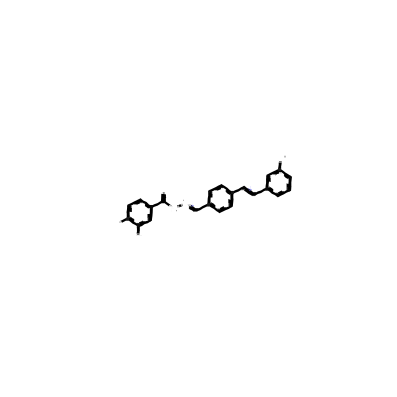 O=C(N/N=C/c1ccc(/C=C/c2cccc(O)c2)cc1)c1ccc(O)c(Cl)c1